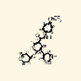 O=C(Nc1ccc(OC(F)(F)F)cc1)C1=CNC(OC2CCOCC2)C(C2=CN=CNC2)=C1